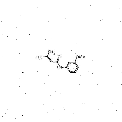 COc1cccc(NC(=O)C=C(C)C)c1